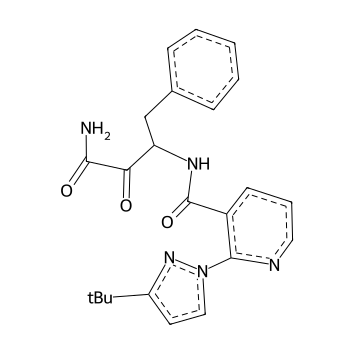 CC(C)(C)c1ccn(-c2ncccc2C(=O)NC(Cc2ccccc2)C(=O)C(N)=O)n1